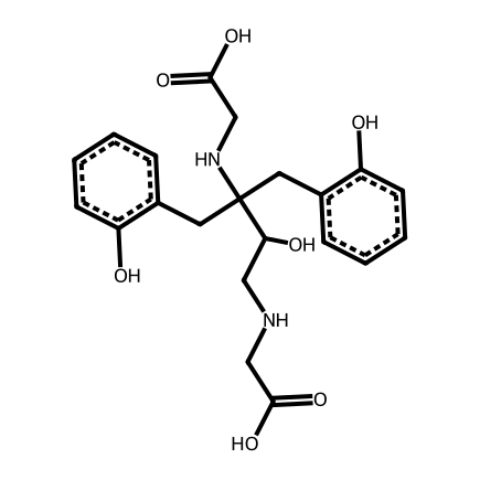 O=C(O)CNCC(O)C(Cc1ccccc1O)(Cc1ccccc1O)NCC(=O)O